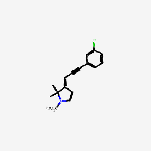 CCOC(=O)N1CC/C(=C\C#Cc2cccc(Cl)c2)C1(C)C